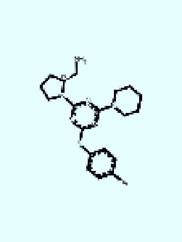 CC(=O)c1ccc(Nc2nc(N3CCCCC3)nc(N3CCC[C@H]3CN)n2)cc1